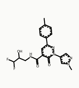 Cc1ccc(-c2cc(C(=O)NCC(O)C(F)F)c(=O)n(-c3cnn(C)c3)n2)cc1